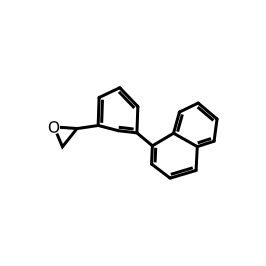 c1cc(-c2cccc3ccccc23)cc(C2CO2)c1